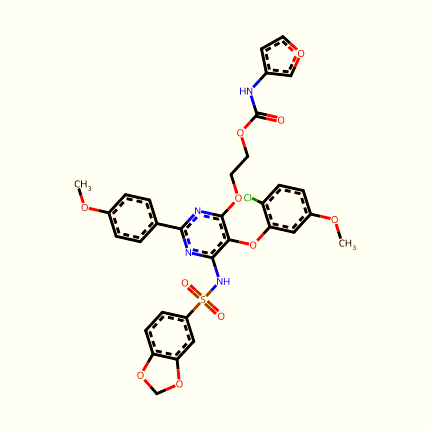 COc1ccc(-c2nc(NS(=O)(=O)c3ccc4c(c3)OCO4)c(Oc3cc(OC)ccc3Cl)c(OCCOC(=O)Nc3ccoc3)n2)cc1